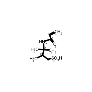 C=CC(=O)NC(C)(C)C(C)CS(=O)(=O)O